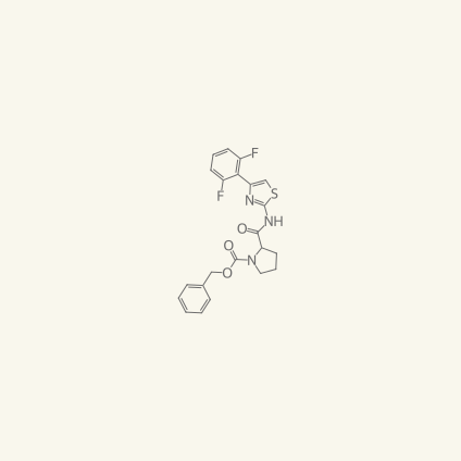 O=C(Nc1nc(-c2c(F)cccc2F)cs1)C1CCCN1C(=O)OCc1ccccc1